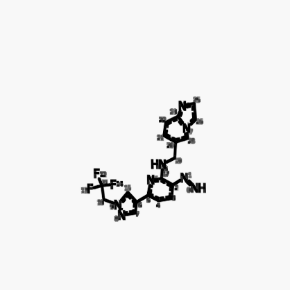 N=Nc1ccc(-c2cnn(CC(F)(F)F)c2)nc1NCc1ccc2nccn2c1